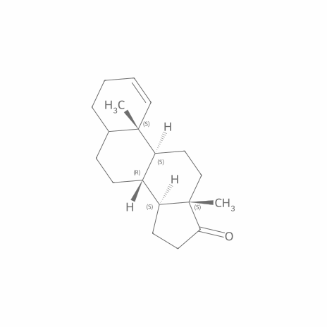 C[C@]12C=CCCC1CC[C@@H]1[C@@H]2CC[C@]2(C)C(=O)CC[C@@H]12